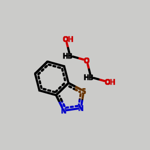 OBOBO.c1ccc2snnc2c1